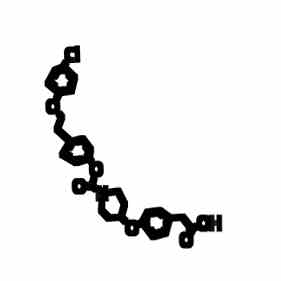 O=C(O)Cc1ccc(OC2CCN(C(=O)Oc3ccc(CCOc4ccc(Cl)cc4)cc3)CC2)cc1